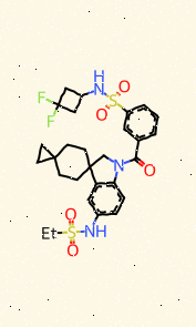 CCS(=O)(=O)Nc1ccc2c(c1)C1(CCC3(CC3)CC1)CN2C(=O)c1cccc(S(=O)(=O)NC2CC(F)(F)C2)c1